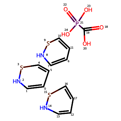 C1=CNSC=C1.C1=CNSC=C1.C1=CNSC=C1.O=C(O)P(=O)(O)O